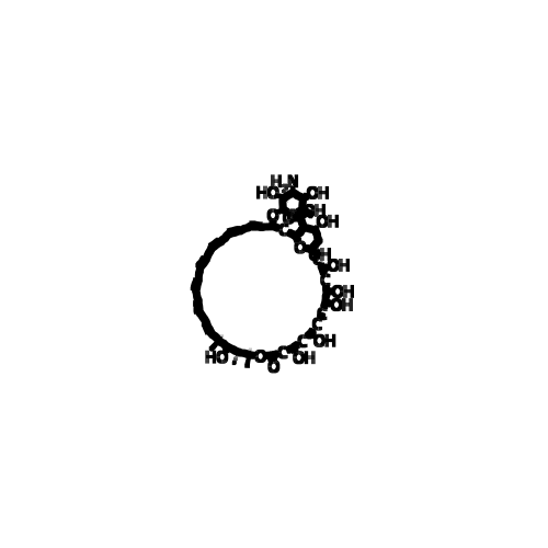 CC1O[C@@H](OC2/C=C/C=C/C=C/C=C/C=C/C=C/C=C/[C@H](C)C(O)[C@@H](C)[C@H](C)OC(=O)CC(O)CC(O)CCC(O)C(O)CC(O)CC3(O)C[C@H](O)C(C(=O)O)C(C2)O3)[C@@H](O)[C@@H](N)C1O